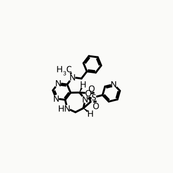 CN(Cc1ccccc1)c1ncnc2c1[C@@H]1OC[C@H](CN2)N1S(=O)(=O)c1cccnc1